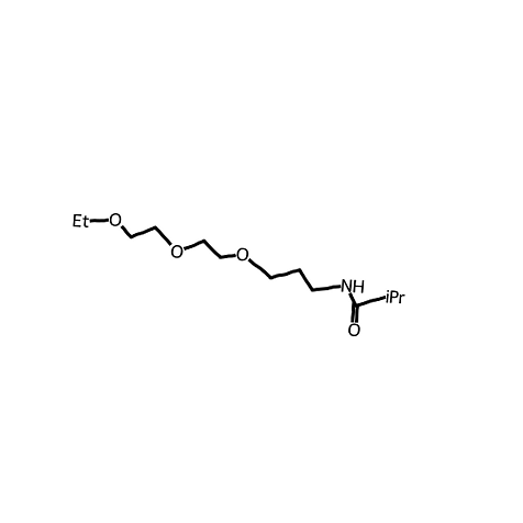 CCOCCOCCOCCCNC(=O)C(C)C